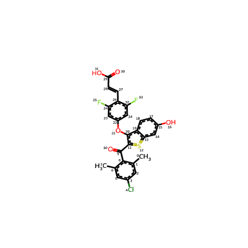 Cc1cc(Cl)cc(C)c1C(=O)c1sc2cc(O)ccc2c1Oc1cc(F)c(/C=C/C(=O)O)c(F)c1